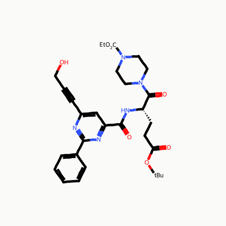 CCOC(=O)N1CCN(C(=O)[C@H](CCC(=O)OC(C)(C)C)NC(=O)c2cc(C#CCO)nc(-c3ccccc3)n2)CC1